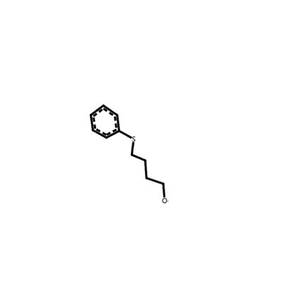 [O]CCCCSc1ccccc1